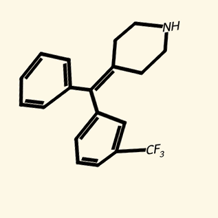 FC(F)(F)c1cccc(C(=C2CCNCC2)c2ccccc2)c1